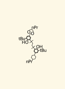 CCCC1CCC(c2cc(C(C)(C)C)c(O)c(C(C)(C)CCC(C)(C)c3cc(C4OCC(CCC)CO4)cc(C(C)(C)C)c3O)c2)CC1